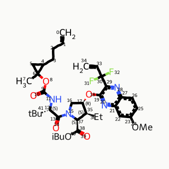 C=CCCC1CC1(C)OC(=O)N[C@H](C(=O)N1C[C@H](Oc2nc3cc(OC)ccc3nc2C(F)(F)C=C)[C@@H](CC)[C@H]1C(=O)OCC(C)C)C(C)(C)C